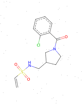 C=CS(=O)(=O)NCC1CCN(C(=O)c2ccccc2Cl)C1